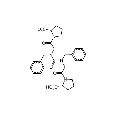 O=C(O)[C@H]1CCCN1C(=O)CN(Cc1ccccc1)C(=O)N(CC(=O)N1CCC[C@@H]1C(=O)O)Cc1ccccc1